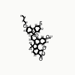 CCCCOc1ccc(C2(c3ccc(F)cc3)C=Cc3c4c(c5ccc(OC)cc5c3O2)-c2c(ccc3c2C(=O)OC3=O)C4(C)C)cc1